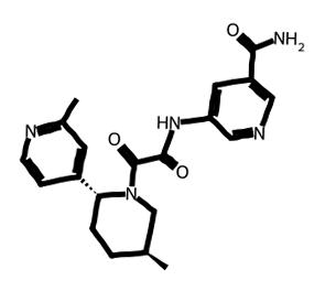 Cc1cc([C@H]2CC[C@H](C)CN2C(=O)C(=O)Nc2cncc(C(N)=O)c2)ccn1